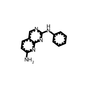 Nc1ccc2cnc(Nc3ccccc3)nc2n1